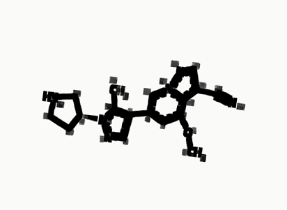 COc1cc(-c2cnn([C@@H]3CCNC3)c2C)cn2ncc(C#N)c12